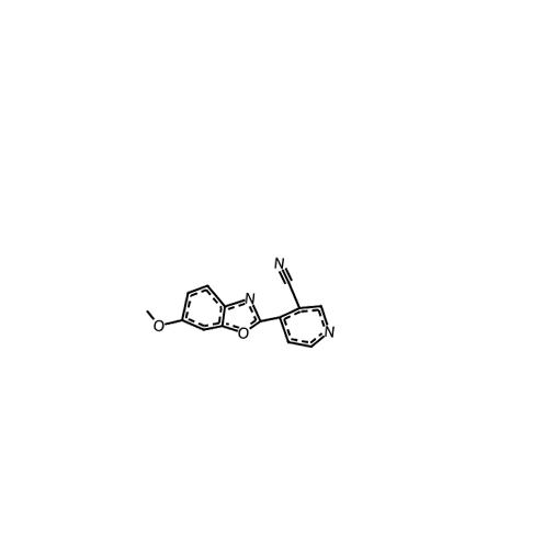 COc1ccc2nc(-c3ccncc3C#N)oc2c1